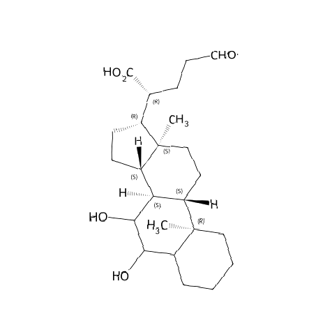 C[C@]12CC[C@H]3[C@@H](C(O)C(O)C4CCCC[C@@]43C)[C@@H]1CC[C@@H]2[C@@H](CC[C]=O)C(=O)O